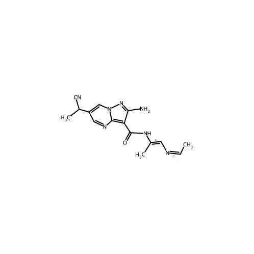 C/C=N\C=C(/C)NC(=O)c1c(N)nn2cc(C(C)C#N)cnc12